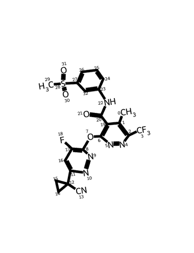 Cc1c(C(F)(F)F)nnc(Oc2nnc(C3(C#N)CC3)cc2F)c1C(=O)Nc1cccc(S(C)(=O)=O)c1